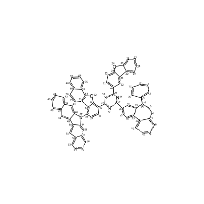 c1ccc([C@H]2CCc3ccccc3-c3ccc(-c4nc(-c5ccc6oc7ccccc7c6c5)nc(-c5ccc(-n6c7cc8ccccc8cc7c7cc8ccccc8cc76)c6c5oc5c7ccccc7ccc56)n4)cc32)cc1